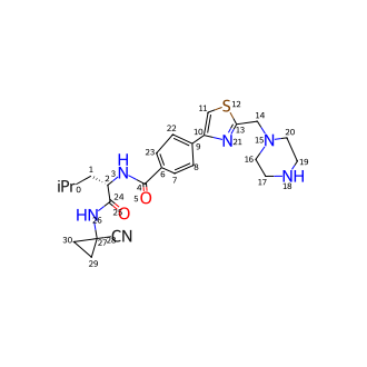 CC(C)C[C@H](NC(=O)c1ccc(-c2csc(CN3CCNCC3)n2)cc1)C(=O)NC1(C#N)CC1